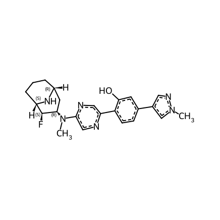 CN(c1cnc(-c2ccc(-c3cnn(C)c3)cc2O)cn1)[C@@H]1C[C@H]2CCC[C@H](N2)[C@@H]1F